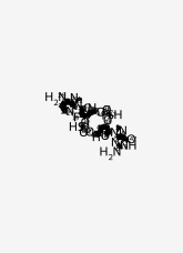 Nc1nc2c(ncn2[C@@H]2O[C@@H]3COP(=O)(S)OC4C(F)[C@H](n5cnc6c(N)ccnc65)O[C@@H]4COP(=O)(S)OC2C3)c(=O)[nH]1